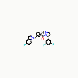 O=C([C@H]1CC2(Cn3ccc4cc(F)ccc43)CC1C2)N1N=CCC1c1cc(F)cc(F)c1